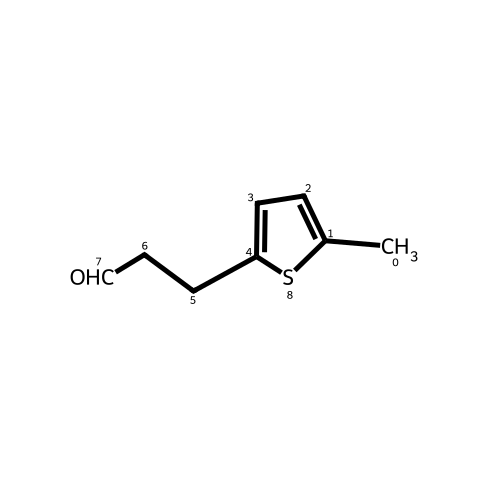 Cc1ccc(CCC=O)s1